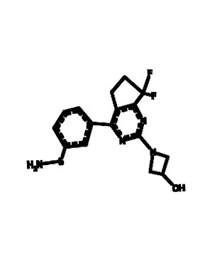 NSc1cccc(-c2nc(N3CC(O)C3)nc3c2CCC3(F)F)c1